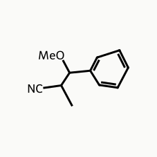 COC(c1ccccc1)C(C)C#N